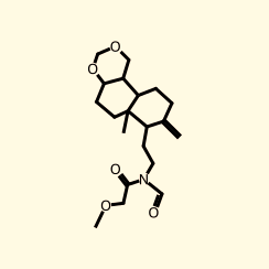 C=C1CCC2C3COCOC3CCC2(C)C1CCN(C=O)C(=O)COC